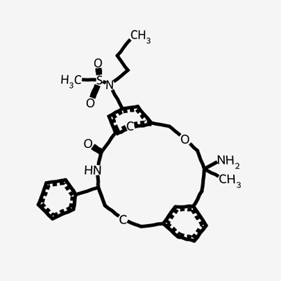 CCCN(c1cc2cc(c1)C(=O)NC(c1ccccc1)CCCc1cccc(c1)CC(C)(N)COC2)S(C)(=O)=O